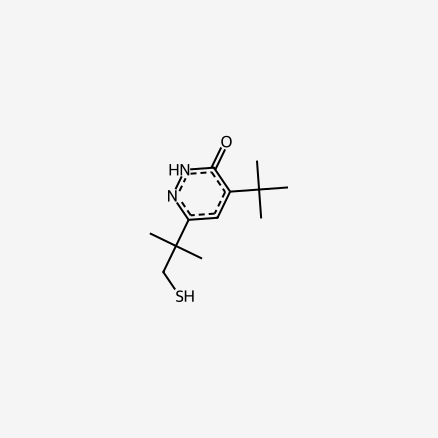 CC(C)(C)c1cc(C(C)(C)CS)n[nH]c1=O